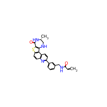 C=CC(=O)NCc1cccc(-c2ccc3c(ccc4sc5c(c43)NC[C@@H](C)NC5=O)n2)c1